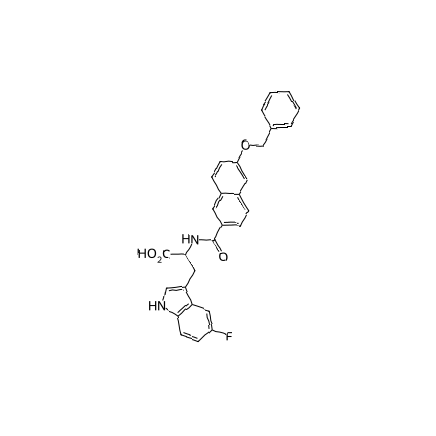 O=C(NC(Cc1c[nH]c2ccc(F)cc12)C(=O)O)c1ccc2cc(OCc3ccccc3)ccc2c1